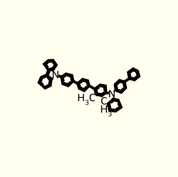 Cc1c(-c2ccc(-c3ccc(-n4c5ccccc5c5ccccc54)cc3)cc2)ccc(N(c2ccccc2)c2ccc(-c3ccccc3)cc2)c1C